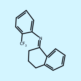 FC(F)(F)c1ccccc1N=C1CCCc2ccccc21